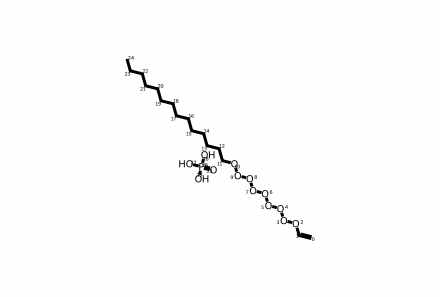 C=COOOOOOOOOCCCCCCCCCCCCCC.O=P(O)(O)O